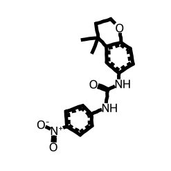 CC1(C)CCOc2ccc(NC(=O)Nc3ccc([N+](=O)[O-])cc3)cc21